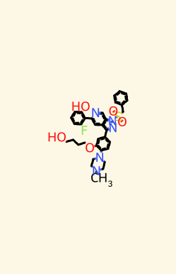 CN1CCN(c2ccc(-c3nn(S(=O)(=O)Cc4ccccc4)c4cnc(-c5c(O)cccc5F)cc34)cc2OCCCCO)CC1